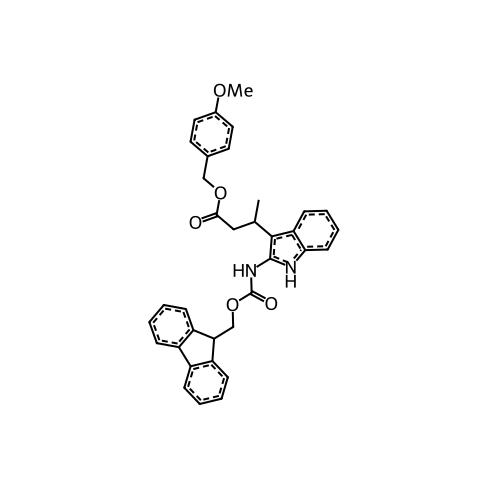 COc1ccc(COC(=O)CC(C)c2c(NC(=O)OCC3c4ccccc4-c4ccccc43)[nH]c3ccccc23)cc1